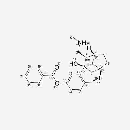 CNC[C@H]1[C@@H]2CC[C@@H](C2)C[C@]1(O)c1cc(OC(=O)c2ccccc2)ccc1F